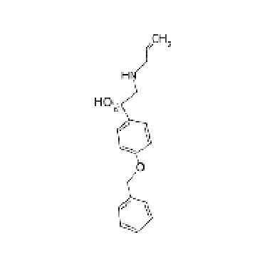 C=CCNC[C@@H](O)c1ccc(OCc2ccccc2)cc1